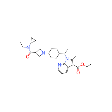 CCOC(=O)c1c(C)n(C(C)C2CCC(N3CC(C(=O)N(CC)C4CC4)C3)CC2)c2ncccc12